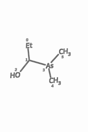 CCC(O)[As](C)C